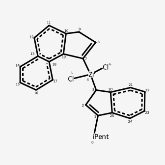 CCCC(C)C1=C[CH]([Zr]([Cl])([Cl])[C]2=CCc3ccc4ccccc4c32)c2ccccc21